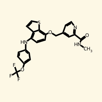 CNC(=O)c1cc(COc2ccc(Nc3ccc(OC(F)(F)F)cc3)c3ccsc23)ccn1